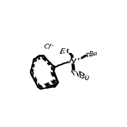 CCCC[N+](CC)(CCCC)c1ccccc1.[Cl-]